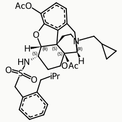 CC(=O)Oc1ccc2c3c1O[C@H]1[C@@H](NS(=O)(=O)Cc4ccccc4CC(C)C)CC[C@@]4(OC(C)=O)[C@@H](C2)N(CC2CC2)CC[C@]314